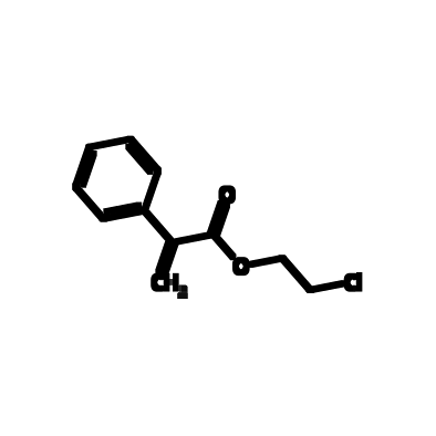 C=C(C(=O)OCCCl)c1ccccc1